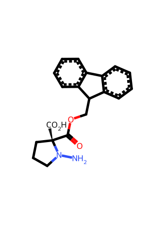 NN1CCC[C@]1(C(=O)O)C(=O)OCC1c2ccccc2-c2ccccc21